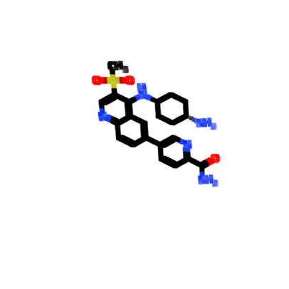 CS(=O)(=O)c1cnc2ccc(-c3ccc(C(N)=O)nc3)cc2c1N[C@H]1CC[C@H](N)CC1